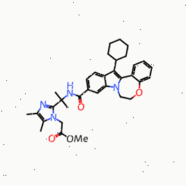 COC(=O)Cn1c(C(C)(C)NC(=O)c2ccc3c(C4CCCCC4)c4n(c3c2)CCOc2ccccc2-4)nc(C)c1C